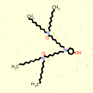 CCCCCCCCCCN(CCCCCCCCCC)C(=O)C(F)CCCCCCN(CCCCCCC(F)C(=O)N(CCCCCCCCCC)CCCCCCCCCC)C1CCC(O)CC1